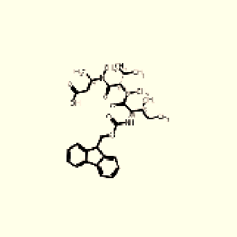 CC[C@H](C)[C@H](NC(=O)OCC1c2ccccc2-c2ccccc21)C(=O)N(C)[C@H](C(=O)N(C)[C@H](C)CC(=O)O)C(C)C